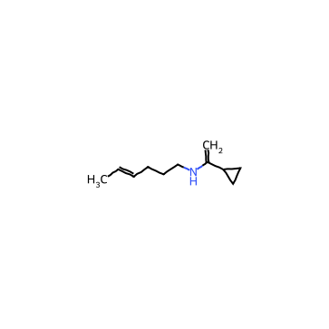 C=C(NCCCC=CC)C1CC1